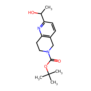 CC(O)c1ccc2c(n1)CCN(C(=O)OC(C)(C)C)C2